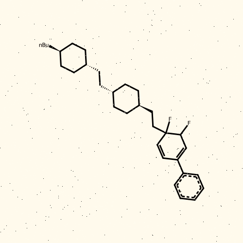 CCCC[C@H]1CC[C@H](CC[C@H]2CC[C@H](CCC3(F)C=CC(c4ccccc4)=CC3F)CC2)CC1